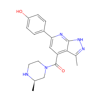 Cc1n[nH]c2nc(-c3ccc(O)cc3)cc(C(=O)N3CCN[C@H](C)C3)c12